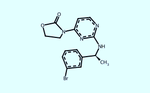 C[C@H](Nc1nccc(N2CCOC2=O)n1)c1cccc(Br)c1